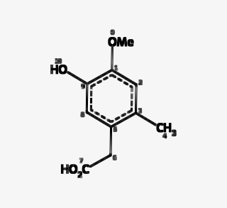 COc1cc(C)c(CC(=O)O)cc1O